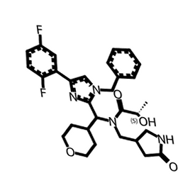 C[C@H](O)C(=O)N(CC1CNC(=O)C1)C(c1nc(-c2cc(F)ccc2F)cn1Cc1ccccc1)C1CCOCC1